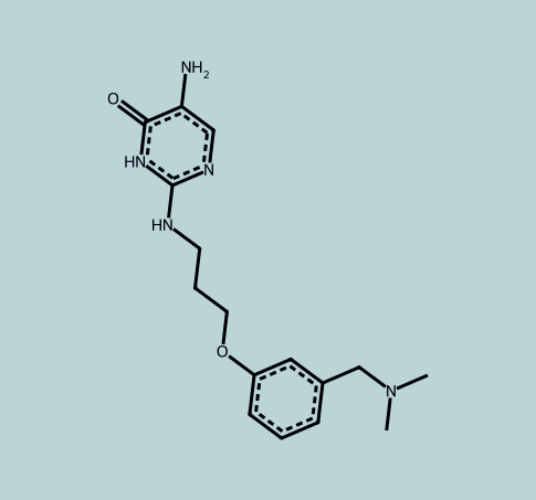 CN(C)Cc1cccc(OCCCNc2ncc(N)c(=O)[nH]2)c1